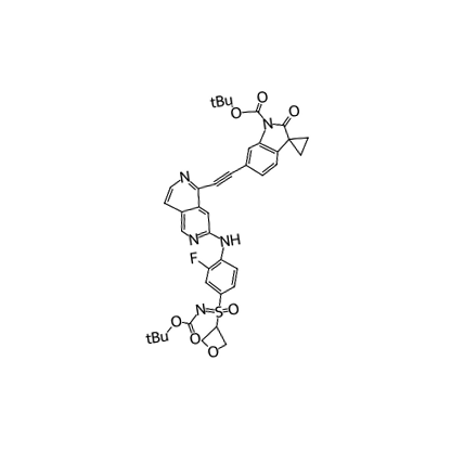 CC(C)(C)OC(=O)N=S(=O)(c1ccc(Nc2cc3c(C#Cc4ccc5c(c4)N(C(=O)OC(C)(C)C)C(=O)C54CC4)nccc3cn2)c(F)c1)C1COC1